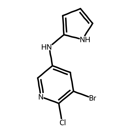 Clc1ncc(Nc2ccc[nH]2)cc1Br